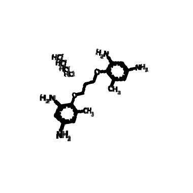 Cc1cc(N)cc(N)c1OCCCOc1c(C)cc(N)cc1N.Cl.Cl.Cl.Cl